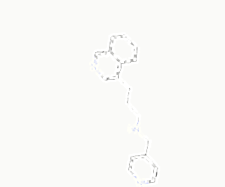 c1ccc2c(CCCNCc3ccncc3)cncc2c1